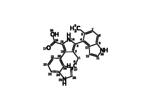 CCc1c(-c2c(C)ccc3[nH]ccc23)[nH]c(C(=O)O)c1-c1cccc2[nH]ccc12